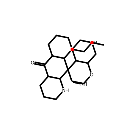 CCCN1CCCC2C(=O)C3CCCNC3C3(C4CCNCC4OC4CNCCC43)C21